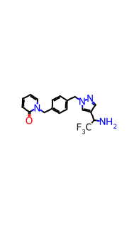 NC(c1cnn(Cc2ccc(Cn3ccccc3=O)cc2)c1)C(F)(F)F